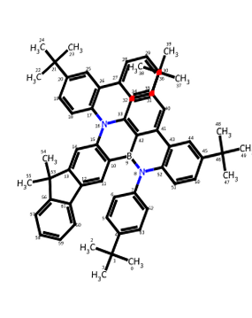 CC(C)(C)c1ccc(N2B3c4cc5c(cc4N(c4ccc(C(C)(C)C)cc4-c4ccccc4)c4cc(C(C)(C)C)cc(c43)-c3cc(C(C)(C)C)ccc32)C(C)(C)c2ccccc2-5)cc1